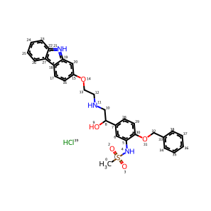 CS(=O)(=O)Nc1cc(C(O)CNCCOc2ccc3c(c2)[nH]c2ccccc23)ccc1OCc1ccccc1.Cl